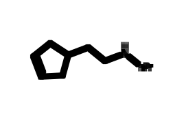 CCCNCCC1CC=CC1